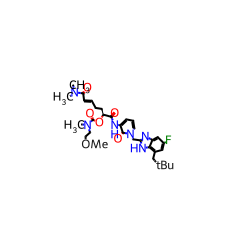 COCCN(C)C(=O)O[C@@H](CC/C=C/C(=O)N(C)C)C(=O)Nc1cccn(Cc2nc3cc(F)cc(CC(C)(C)C)c3[nH]2)c1=O